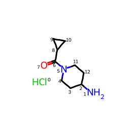 Cl.NC1CCN(C(=O)C2CC2)CC1